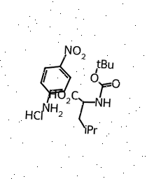 CC(C)CC(NC(=O)OC(C)(C)C)C(=O)O.Cl.Nc1ccc([N+](=O)[O-])cc1